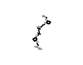 CC(C)(C)COc1ccccc1OCCCNC(C)(C)CCC(C)(C)COc1cccc(OCCNC(C)(C)C)c1